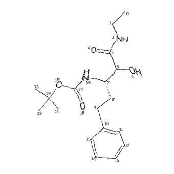 CCNC(=O)C(O)[C@H](CCc1ccccc1)NC(=O)OC(C)(C)C